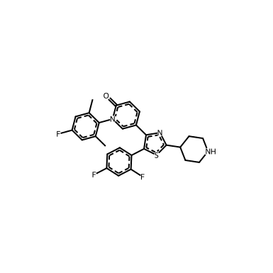 Cc1cc(F)cc(C)c1-n1cc(-c2nc(C3CCNCC3)sc2-c2ccc(F)cc2F)ccc1=O